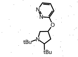 CC(C)(C)C1CC(Oc2cccnn2)CN1C(C)(C)C